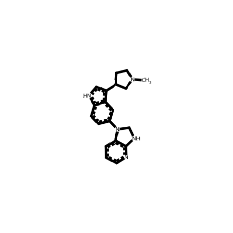 CN1CCC(c2c[nH]c3ccc(N4CNc5ncccc54)cc23)C1